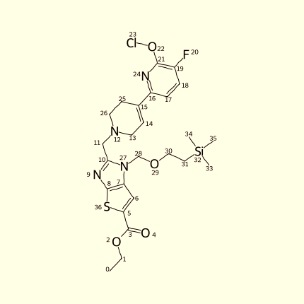 CCOC(=O)c1cc2c(nc(CN3CC=C(c4ccc(F)c(OCl)n4)CC3)n2COCC[Si](C)(C)C)s1